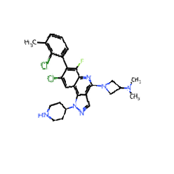 Cc1cccc(-c2c(Cl)cc3c(nc(N4CC(N(C)C)C4)c4cnn(C5CCNCC5)c43)c2F)c1Cl